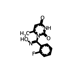 Cc1cc(=O)[nH]c(=O)n1/C(=N\O)c1ccccc1F